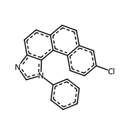 Clc1ccc2c(ccc3ccc4ncn(-c5ccccc5)c4c32)c1